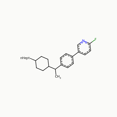 CCCCCCCC1CCC(C(C)c2ccc(-c3ccc(F)nc3)cc2)CC1